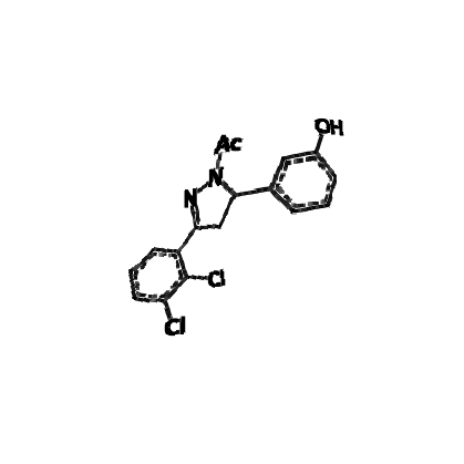 CC(=O)N1N=C(c2cccc(Cl)c2Cl)CC1c1cccc(O)c1